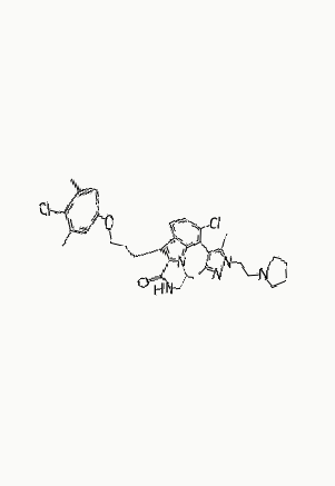 Cc1cc(OCCCc2c3n(c4c(-c5c(C)nn(CCN6CCCC6)c5C)c(Cl)ccc24)C(C)CNC3=O)cc(C)c1Cl